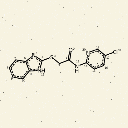 O=C(CSc1nc2ccccc2[nH]1)Nc1ccc(Cl)cn1